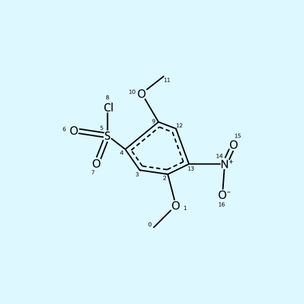 COc1cc(S(=O)(=O)Cl)c(OC)cc1[N+](=O)[O-]